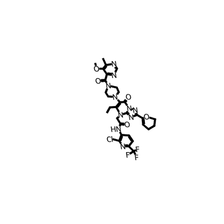 CCc1c(N2CCN(C(=O)c3ncnc(C)c3OC)CC2)c(=O)n2nc(C3=CCCCO3)nc2n1CC(=O)Nc1ccc(C(F)(F)F)nc1Cl